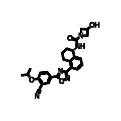 CC(C)Oc1ccc(-c2nc(-c3cccc4c3CCC[C@@H]4NC(=O)N3CC(O)C3)no2)cc1C#N